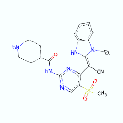 CCN1/C(=C(\C#N)c2nc(NC(=O)C3CCNCC3)ncc2S(C)(=O)=O)Nc2ccccc21